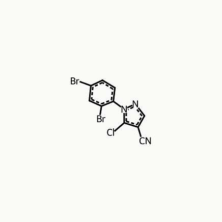 N#Cc1cnn(-c2ccc(Br)cc2Br)c1Cl